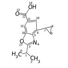 CC(C)c1nc2c(C3CC3)cc(C(=O)O)cc2o1